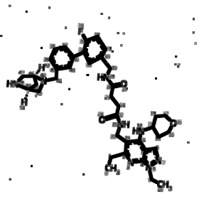 CCc1nc2c(cnn2CC)c(NC2CCOCC2)c1CNC(=O)CCC(=O)NCc1ccc(F)c(-c2cccc(CN3C[C@@H]4C[C@H]3CN4)c2)c1